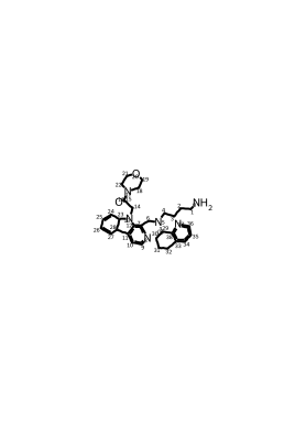 NCCCCN(Cc1nccc2c1N(CC(=O)N1CCOCC1)C1C=CC=CC21)[C@H]1CCCc2cccnc21